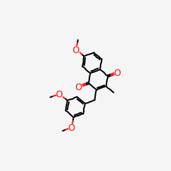 COc1cc(CC2=C(C)C(=O)c3ccc(OC)cc3C2=O)cc(OC)c1